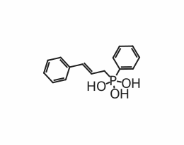 OP(O)(O)(CC=Cc1ccccc1)c1ccccc1